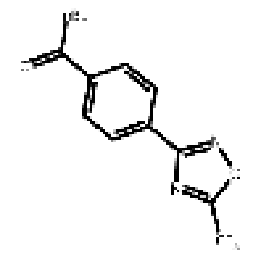 CCCCC(=O)c1ccc(-c2noc(C(F)(F)F)n2)cc1